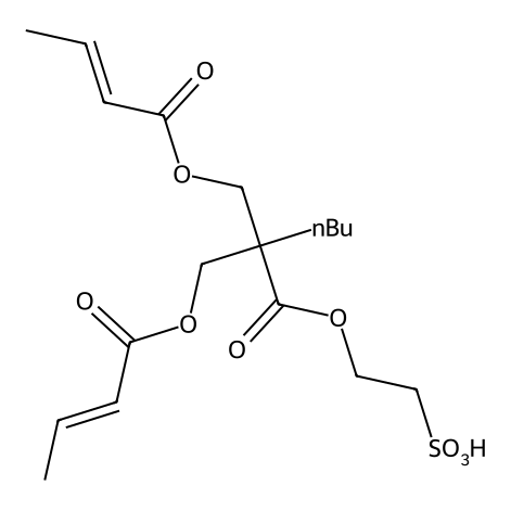 CC=CC(=O)OCC(CCCC)(COC(=O)C=CC)C(=O)OCCS(=O)(=O)O